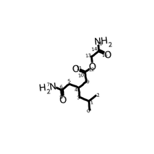 CC(C)CC(CC(N)=O)CC(=O)OCC(N)=O